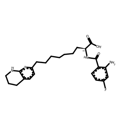 Nc1cc(F)ccc1C(=O)N[C@@H](CCCCCCCc1ccc2c(n1)NCCC2)C(=O)O